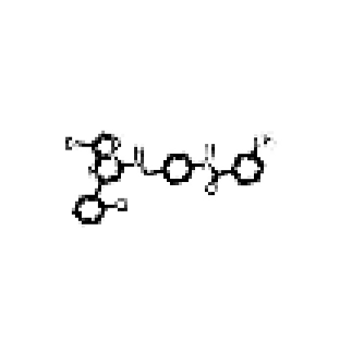 O=C(Nc1ccc(CNc2cc(-c3ccccc3Cl)nc3c(Br)cnn23)cc1)c1cccc(C(F)(F)F)c1